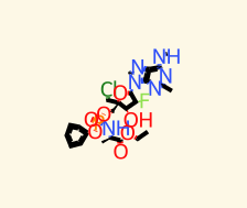 CCOC(=O)[C@@H](C)NP(=O)(OC[C@@]1(CCl)O[C@@H](n2cnc3c(NC)nc(C)nc32)[C@H](F)[C@@H]1O)Oc1ccccc1